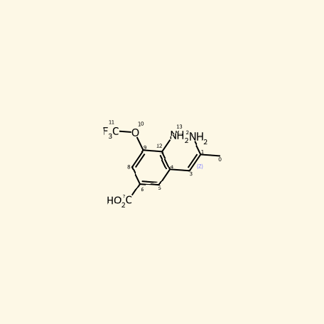 C/C(N)=C/c1cc(C(=O)O)cc(OC(F)(F)F)c1N